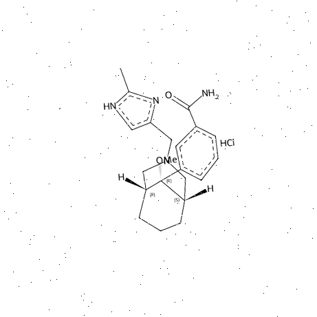 CO[C@@]1(c2cccc(C(N)=O)c2)[C@@H]2CCC[C@H]1CN(Cc1c[nH]c(C)n1)C2.Cl